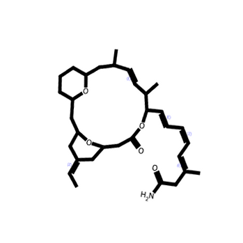 C/C=C1\CC2CC(=O)OC(/C=C/C=C\C=C(/C)CC(N)=O)C(C)/C=C/C(C)CC3CCCC(CC(C1)O2)O3